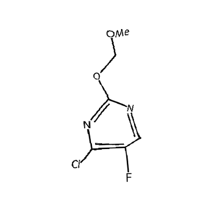 COCOc1ncc(F)c(Cl)n1